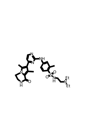 CCN(CC)CCNS(=O)(=O)c1ccc(Nc2nccc(-c3c(C)c4n(c3C)CCNC4=O)n2)cc1C